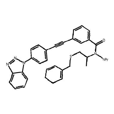 CCCN(C(=O)c1cccc(C#Cc2ccc(-n3nnc4ccccc43)cc2)c1)C(C)CSCC1=CCCC=C1